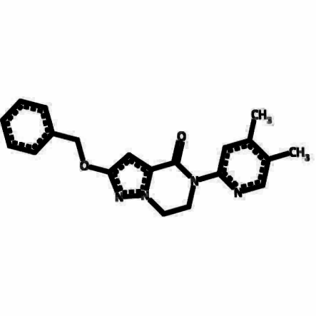 Cc1cnc(N2CCn3nc(OCc4ccccc4)cc3C2=O)cc1C